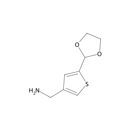 NCc1csc(C2OCCO2)c1